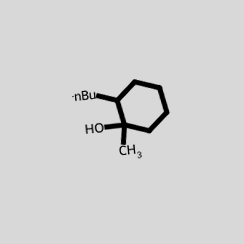 CCC[CH]C1CCCCC1(C)O